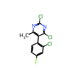 Cc1nc(Cl)nc(Cl)c1-c1ccc(F)cc1Cl